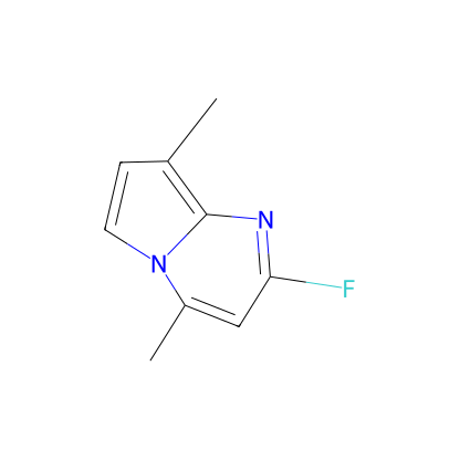 Cc1ccn2c(C)cc(F)nc12